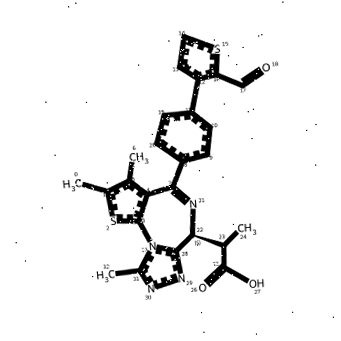 Cc1sc2c(c1C)C(c1ccc(-c3ccsc3C=O)cc1)=N[C@@H](C(C)C(=O)O)c1nnc(C)n1-2